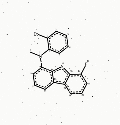 CCc1ccccc1N(C)c1cccc2c1sc1c(F)cccc12